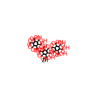 O=C(O)c1c(C(=O)O)c(C(=O)O)c(C(=O)OC(=O)c2c(C(=O)O)c(C(=O)O)c(C(=O)O)c(C(=O)O)c2C(=O)OC(=O)c2c(C(=O)O)c(C(=O)O)c(C(=O)O)c(C(=O)O)c2C(=O)O)c(C(=O)O)c1C(=O)O.[Zn]